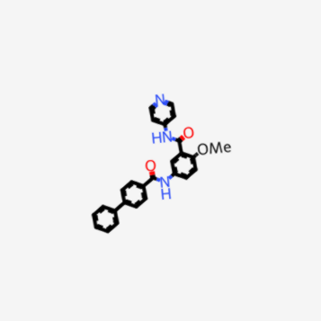 COc1ccc(NC(=O)c2ccc(-c3ccccc3)cc2)cc1C(=O)Nc1ccncc1